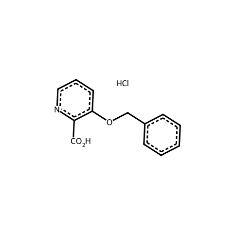 Cl.O=C(O)c1ncccc1OCc1ccccc1